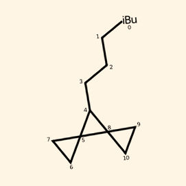 CCC(C)CCCC1C2(CC2)C12CC2